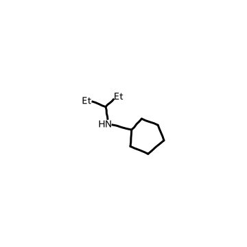 [CH2]CC(CC)NC1CCCCC1